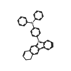 c1cc2c3cc4c(cc3n(-c3ccc(N(c5ccccc5)c5ccccc5)cc3)c2cc#1)C=CCC4